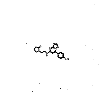 N#Cc1ccc(-c2cc(NCCN3CCCC3=O)nc3ncnn23)cc1